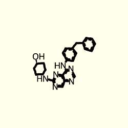 O[C@H]1CC[C@H](Nc2ncc3ncnc(Nc4ccc(Cc5ccccc5)cc4)c3n2)CC1